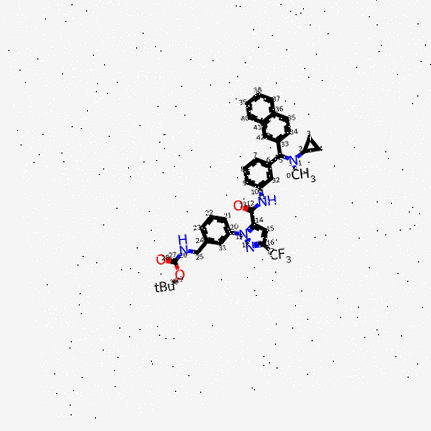 CN(C1CC1)C(c1cccc(NC(=O)c2cc(C(F)(F)F)nn2-c2cccc(CNC(=O)OC(C)(C)C)c2)c1)c1ccc2ccccc2c1